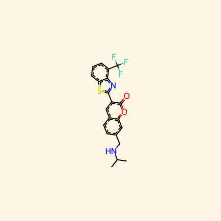 CC(C)NCc1ccc2cc(-c3nc4c(C(F)(F)F)cccc4s3)c(=O)oc2c1